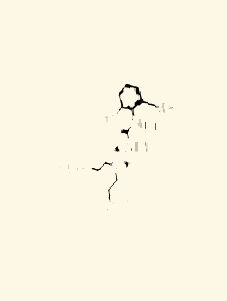 CCCCCCCCCCCCN(CCCCCCCCCCCC)S(=O)(=O)NC(=O)Nc1c(C(C)C)cccc1C(C)C